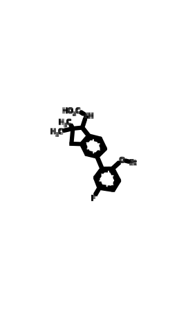 CCOc1ccc(F)cc1-c1ccc2c(c1)CC(C)(C)C2NC(=O)O